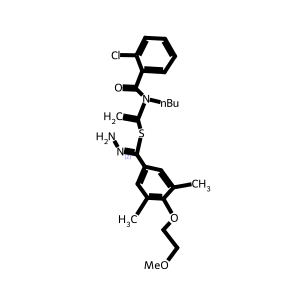 C=C(S/C(=N\N)c1cc(C)c(OCCOC)c(C)c1)N(CCCC)C(=O)c1ccccc1Cl